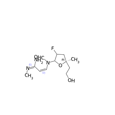 C/N=C(N)\C=C/N(C=O)C1O[C@](C)(CCO)CC1F